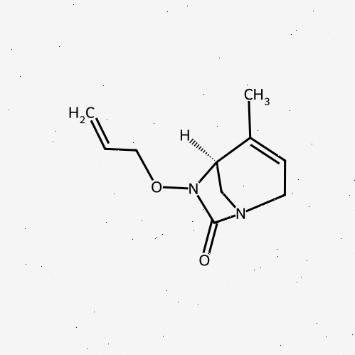 C=CCON1C(=O)N2CC=C(C)[C@H]1C2